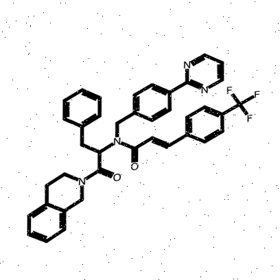 O=C(C(Cc1ccccc1)N(Cc1ccc(-c2ncccn2)cc1)C(=O)C=Cc1ccc(C(F)(F)F)cc1)N1CCc2ccccc2C1